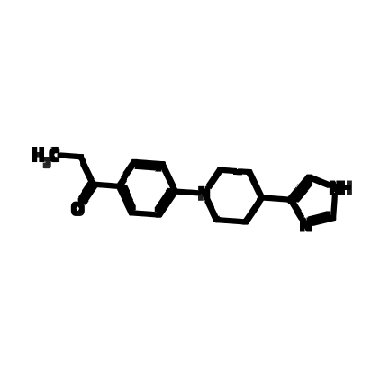 CCC(=O)c1ccc(N2CCC(c3c[nH]cn3)CC2)cc1